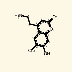 NCCc1cc(=O)oc2cc(O)c(Cl)cc12